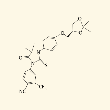 CC1(C)OC[C@H](COC2=CCC(N3C(=S)N(c4ccc(C#N)c(C(F)(F)F)c4)C(=O)C3(C)C)C=C2)O1